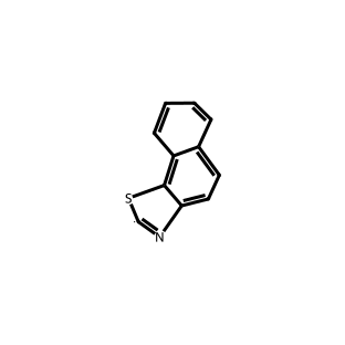 [c]1nc2ccc3ccccc3c2s1